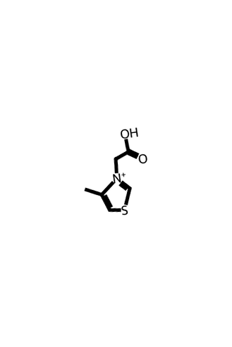 Cc1csc[n+]1CC(=O)O